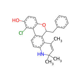 CC1=CC(C)(C)Nc2ccc3c(c21)C(Cc1ccccc1)Oc1ccc(O)c(Cl)c1-3